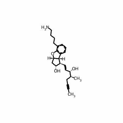 CC#CC[C@H](C)[C@@H](O)/C=C/[C@@H]1[C@H]2c3cccc(CCCCN)c3O[C@H]2C[C@H]1O